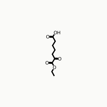 CCOC(=O)C(=O)CCCCC(=O)O